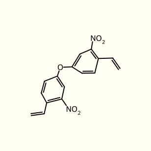 C=Cc1ccc(Oc2ccc(C=C)c([N+](=O)[O-])c2)cc1[N+](=O)[O-]